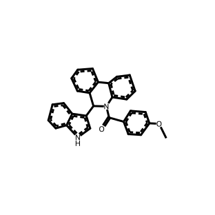 COc1ccc(C(=O)N2c3ccccc3-c3ccccc3C2c2c[nH]c3ccccc23)cc1